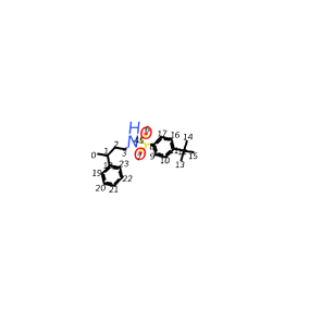 CC(CCNS(=O)(=O)c1ccc(C(C)(C)C)cc1)c1ccccc1